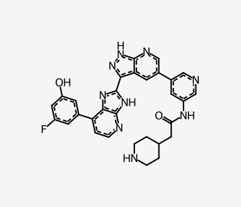 O=C(CC1CCNCC1)Nc1cncc(-c2cnc3[nH]nc(-c4nc5c(-c6cc(O)cc(F)c6)ccnc5[nH]4)c3c2)c1